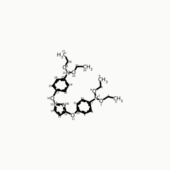 CCON(OCC)c1ccc(Oc2ccn(Oc3ccc(N(OCC)OCC)cc3)n2)cc1